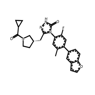 Cc1cc(-n2c(C[C@@H]3CCN(C(=O)C4CC4)C3)n[nH]c2=O)c(F)cc1-c1ccc2occc2c1